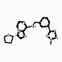 Cn1nnc(-c2cccc(CNc3nccn4c([C@@H]5CCCS5)cnc34)c2)n1